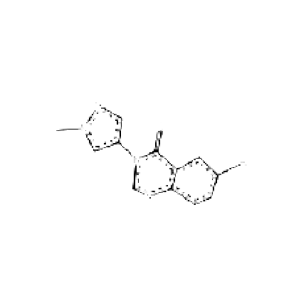 Cn1cc(-n2cnc3ccc(Br)cc3c2=O)cn1